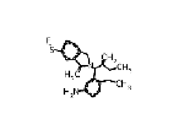 C=C(CC)C(c1cc(N)ccc1CC)N1Cc2ccc(SF)cc2C1=C